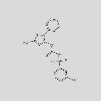 Cc1cccc(S(=O)(=O)NC(=O)Nc2cc(C)nn2-c2ccccc2)c1